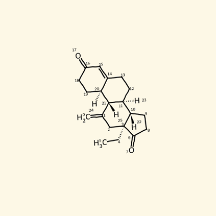 C=C1C[C@]2(CC)C(=O)CC[C@H]2[C@@H]2CCC3=CC(=O)CC[C@@H]3[C@@H]12